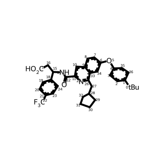 CC(C)(C)c1ccc(Oc2ccc3cc(C(=O)NC(CC(=O)O)c4ccc(C(F)(F)F)cc4)nc(CC4CCCC4)c3c2)cc1